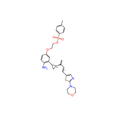 C=C(/C=C/c1cnc(N2CCOCC2)s1)[C@H]1CC1c1cc(OCCOS(=O)(=O)c2ccc(C)cc2)ccc1N